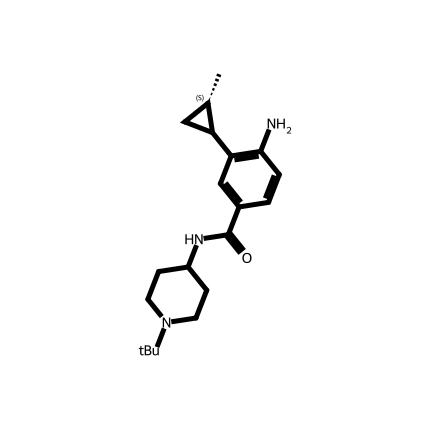 C[C@H]1CC1c1cc(C(=O)NC2CCN(C(C)(C)C)CC2)ccc1N